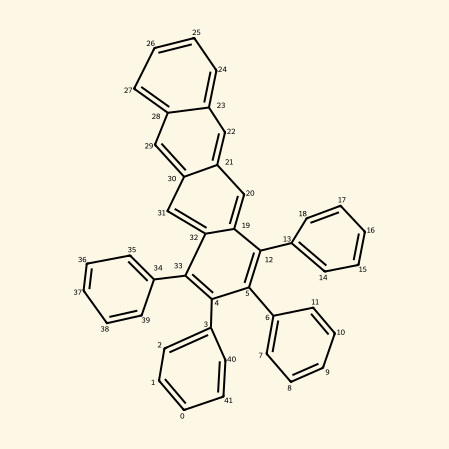 c1ccc(-c2c(-c3ccccc3)c(-c3ccccc3)c3cc4cc5ccccc5cc4cc3c2-c2ccccc2)cc1